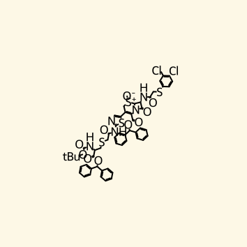 CC(C)(C)OC(=O)NC(CSCC(=O)Nc1ncc(C2=C(C(=O)OC(c3ccccc3)c3ccccc3)N3C(=O)C(NC(=O)CSc4ccc(Cl)c(Cl)c4)C3[S+]([O-])C2)s1)C(=O)OC(c1ccccc1)c1ccccc1